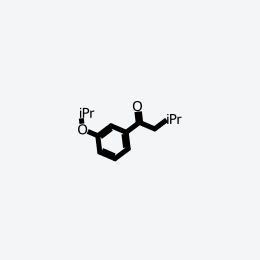 CC(C)CC(=O)c1cccc(OC(C)C)c1